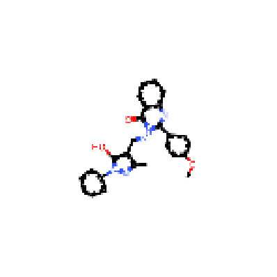 COc1ccc(-c2nc3ccccc3c(=O)n2N=Cc2c(C)nn(-c3ccccc3)c2O)cc1